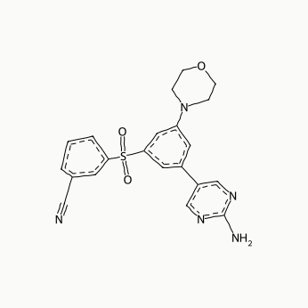 N#Cc1cccc(S(=O)(=O)c2cc(-c3cnc(N)nc3)cc(N3CCOCC3)c2)c1